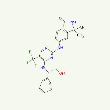 CC1(C)NC(=O)c2ccc(Nc3ncc(C(F)(F)F)c(N[C@H](CO)c4ccccc4)n3)cc21